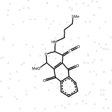 COC1OC(NCCCSC)C(=C=O)C2=C1C(=O)c1ccccc1C2=O